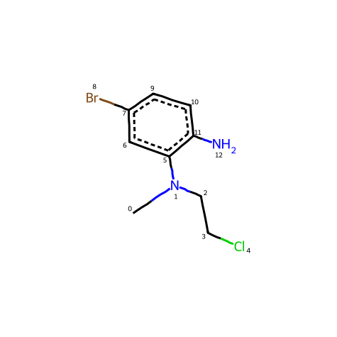 CN(CCCl)c1cc(Br)ccc1N